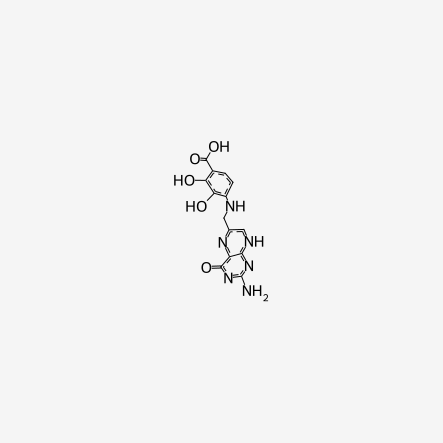 Nc1nc2[nH]cc(CNc3ccc(C(=O)O)c(O)c3O)nc-2c(=O)n1